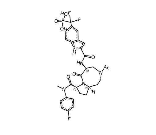 CC(=O)N1CC[C@H]2CC[C@@H](C(=O)N(C)c3ccc(F)cc3)N2C(=O)[C@@H](NC(=O)c2cc3cc(C(F)(F)P(=O)(O)O)ccc3[nH]2)C1